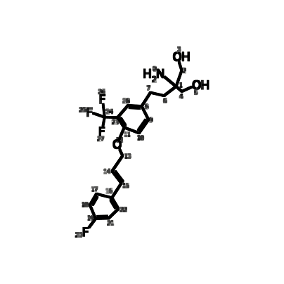 NC(CO)(CO)CCc1ccc(OC/C=C/c2ccc(F)cc2)c(C(F)(F)F)c1